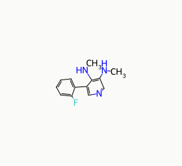 CNc1cncc(-c2ccccc2F)c1NC